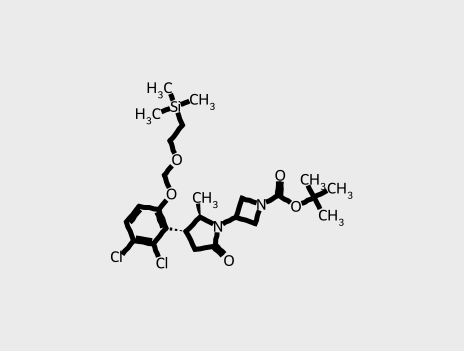 C[C@@H]1[C@@H](c2c(OCOCC[Si](C)(C)C)ccc(Cl)c2Cl)CC(=O)N1C1CN(C(=O)OC(C)(C)C)C1